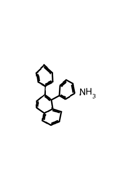 N.c1ccc(-c2ccc3ccccc3c2-c2ccccc2)cc1